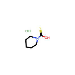 Cl.OC(=S)N1CCCCC1